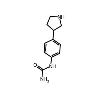 NC(=O)Nc1ccc(C2CCNC2)cc1